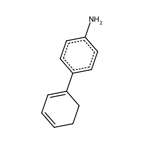 Nc1ccc(C2=CC=CCC2)cc1